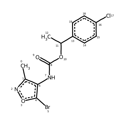 Cc1noc(Br)c1NC(=O)OC(C)c1ccc(Cl)cc1